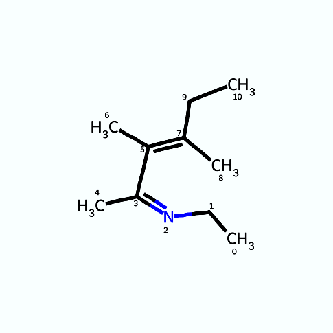 CC/N=C(C)\C(C)=C(/C)CC